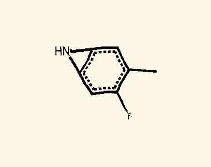 Cc1cc2c(cc1F)N2